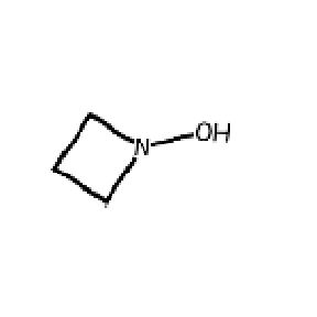 ON1[CH]CC1